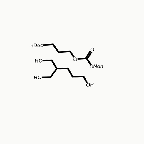 CCCCCCCCCCCCCOC(=O)CCCCCCCCC.OCCCC(CO)CO